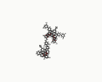 Cc1cc(C)cc(-c2ccc3c(c2)c2cc(-c4cc(C)cc(C)c4)ccc2n3-c2cc(C#N)cc(-n3c4ccc(-c5cc(C)cc(C)c5)cc4c4cc(-c5cc(C)cc(CCc6cc(C)c(-c7ccc8c9ccccc9n(-c9cc(C#N)cc(-n%10c%11ccccc%11c%11ccc(-c%12c(C)cc(C)cc%12C)cc%11%10)c9-c9nc(C)nc(C)n9)c8c7)c(C)c6)c5)ccc43)c2-c2nc(-c3ccccc3)nc(-c3ccccc3)n2)c1